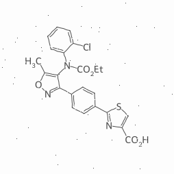 CCOC(=O)N(c1ccccc1Cl)c1c(-c2ccc(-c3nc(C(=O)O)cs3)cc2)noc1C